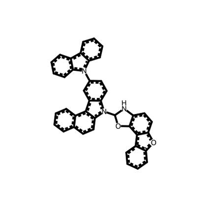 c1ccc2c(c1)ccc1c2c2cc(-n3c4ccccc4c4ccccc43)ccc2n1C1Nc2ccc3oc4ccccc4c3c2O1